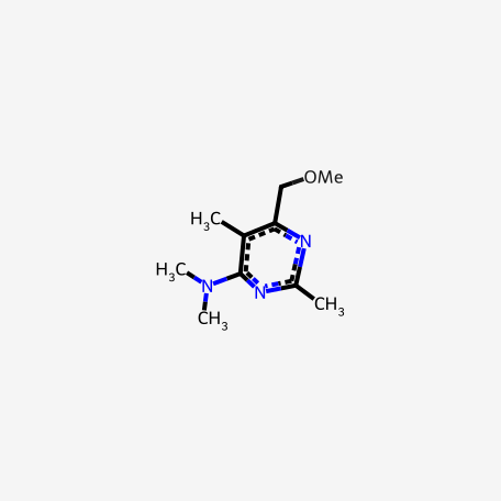 COCc1nc(C)nc(N(C)C)c1C